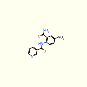 NC(=O)c1cc([N+](=O)[O-])ccc1NC(=O)c1cccnc1